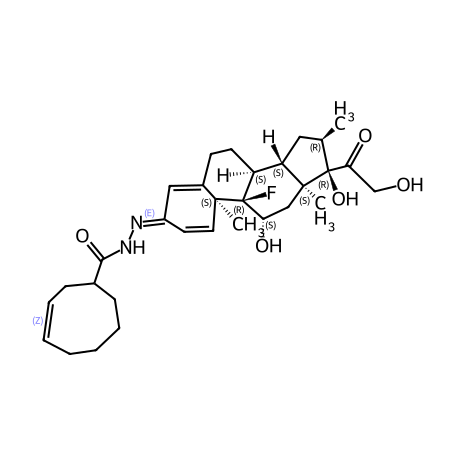 C[C@@H]1C[C@H]2[C@@H]3CCC4=C/C(=N/NC(=O)C5C/C=C\CCCC5)C=C[C@]4(C)[C@@]3(F)[C@@H](O)C[C@]2(C)[C@@]1(O)C(=O)CO